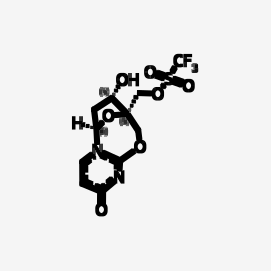 O=c1ccn2c(n1)OC[C@@]1(COS(=O)(=O)C(F)(F)F)O[C@@H]2C[C@@H]1O